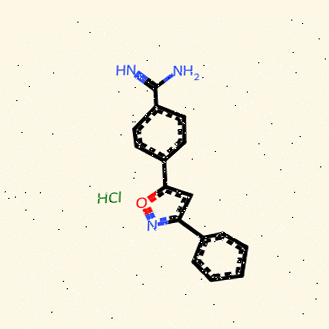 Cl.N=C(N)c1ccc(-c2cc(-c3ccccc3)no2)cc1